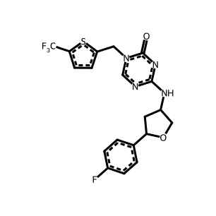 O=c1nc(NC2COC(c3ccc(F)cc3)C2)ncn1Cc1ccc(C(F)(F)F)s1